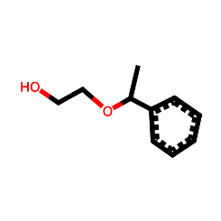 C[C](OCCO)c1ccccc1